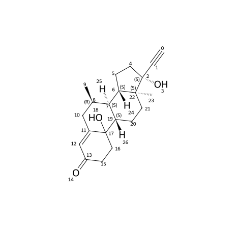 C#C[C@]1(O)CC[C@H]2[C@@H]3[C@H](C)CC4=CC(=O)CCC4(O)[C@H]3CC[C@@]21C